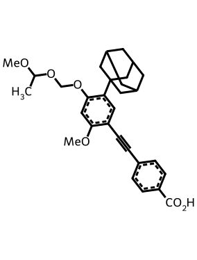 COc1cc(OCOC(C)OC)c(C23CC4CC(CC(C4)C2)C3)cc1C#Cc1ccc(C(=O)O)cc1